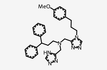 COc1ccc(CCCn2cnnc2CN(CCC(c2ccccc2)c2ccccc2)Cc2nnc[nH]2)cc1